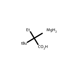 CCC(C)(C(=O)O)C(C)(C)C.[MgH2]